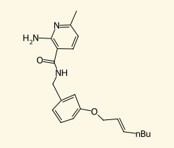 CCCCC=CCOc1cccc(CNC(=O)c2ccc(C)nc2N)c1